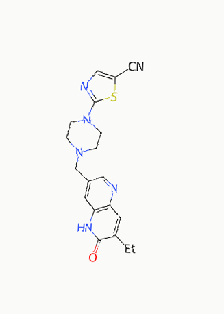 CCc1cc2ncc(CN3CCN(c4ncc(C#N)s4)CC3)cc2[nH]c1=O